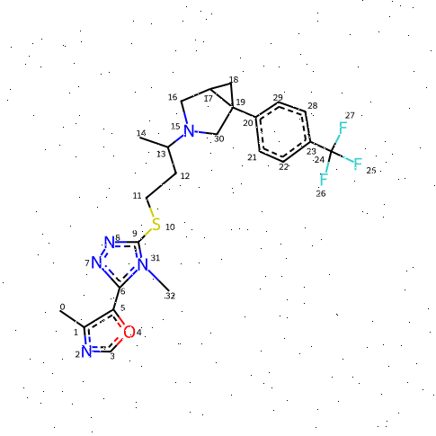 Cc1ncoc1-c1nnc(SCCC(C)N2CC3CC3(c3ccc(C(F)(F)F)cc3)C2)n1C